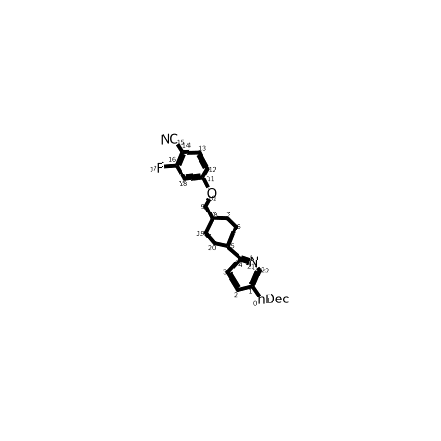 CCCCCCCCCCc1ccc(C2CCC(COc3ccc(C#N)c(F)c3)CC2)nc1